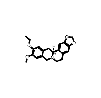 CCOc1cc2c(cc1OC)CN1CCc3cc4c(cc3[C@@H]1C2)OCO4